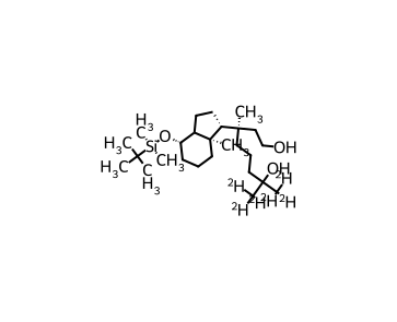 [2H]C([2H])([2H])C(O)(CCC[C@](C)(CCO)[C@H]1CCC2[C@@H](O[Si](C)(C)C(C)(C)C)CCC[C@@]21C)C([2H])([2H])[2H]